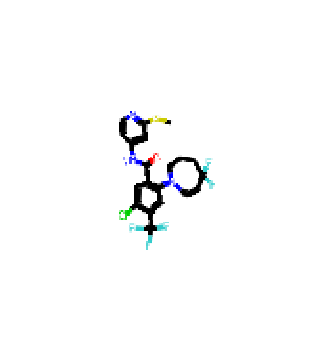 CSc1cc(NC(=O)c2cc(Cl)c(C(F)(F)F)cc2N2CCCC(F)(F)CC2)ccn1